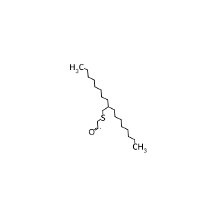 CCCCCCCCC(CCCCCCCC)CSC[C]=O